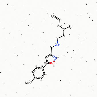 C=CCC(CC)CCNCc1cc(-c2ccc(OC)cc2)on1